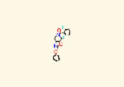 O=C(c1c(F)cccc1F)N1CCc2nc(COc3ccccc3)oc2C1